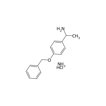 CC(N)c1ccc(OCc2ccccc2)cc1.Cl.N